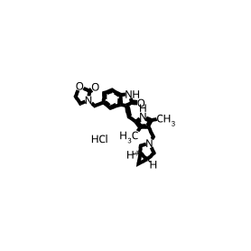 Cc1[nH]c(C=C2C(=O)Nc3ccc(CN4CCOC4=O)cc32)c(C)c1CN1C[C@H]2C[C@H]2C1.Cl